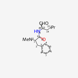 CNC(Cc1ccccc1)C(=O)N[C@@H](C=O)CC(C)C